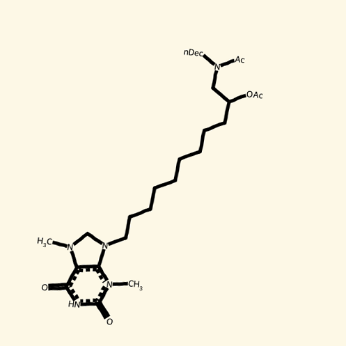 CCCCCCCCCCN(CC(CCCCCCCCCN1CN(C)c2c1n(C)c(=O)[nH]c2=O)OC(C)=O)C(C)=O